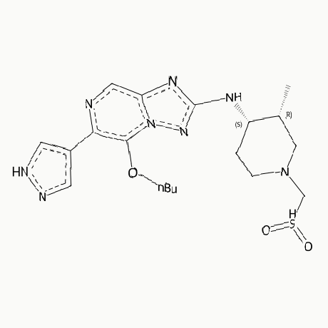 CCCCOc1c(-c2cn[nH]c2)ncc2nc(N[C@H]3CCN(C[SH](=O)=O)C[C@H]3C)nn12